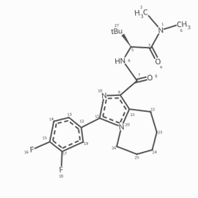 CN(C)C(=O)[C@@H](NC(=O)c1nc(-c2ccc(F)c(F)c2)n2c1CCCCC2)C(C)(C)C